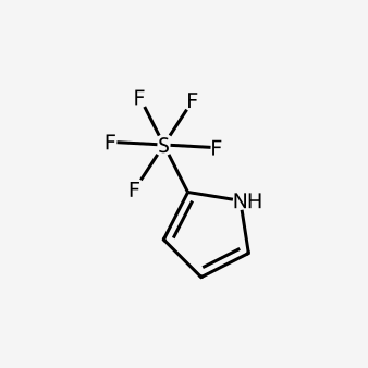 FS(F)(F)(F)(F)c1ccc[nH]1